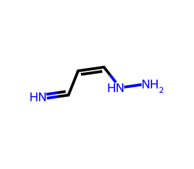 N=C/C=C\NN